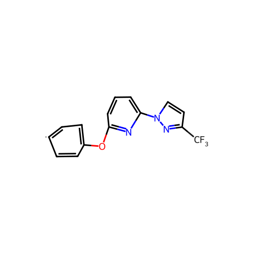 FC(F)(F)c1ccn(-c2cccc(Oc3cc[c]cc3)n2)n1